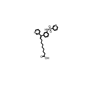 O=C(O)CCCCCCCC=C(c1cccnc1)c1cccc(NS(=O)(=O)c2cccnc2)c1